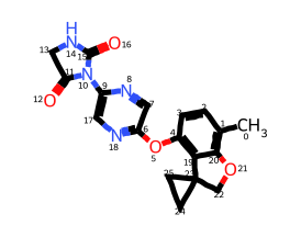 Cc1ccc(Oc2cnc(N3C(=O)CNC3=O)cn2)c2c1OCC21CC1